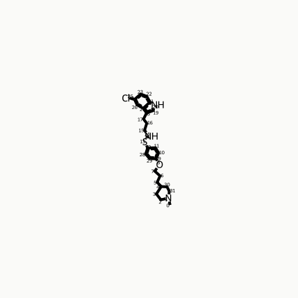 CN1CCC(CCCOc2ccc(SNCCCc3c[nH]c4ccc(Cl)cc34)cc2)CC1